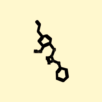 C=CCc1ccc(On2pnp2Oc2ccccc2)c(OC)c1